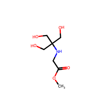 COC(=O)CNC(CO)(CO)CO